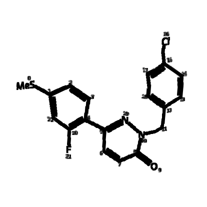 CSc1ccc(-c2ccc(=O)n(Cc3ccc(Cl)cc3)n2)c(F)c1